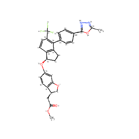 COC(=O)C[C@@H]1COc2cc(O[C@@H]3CCc4c3ccc(C(F)(F)F)c4-c3ccc(-c4nnc(C)o4)cc3)ccc21